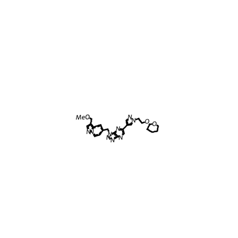 COCc1cnn2ccc(Cn3nnc4ncc(-c5cnn(CCOC6CCCCO6)c5)nc43)cc12